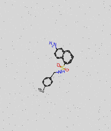 CC(C)(C)c1ccc(CNS(=O)(=O)c2cccc3cc(N)ccc23)cc1